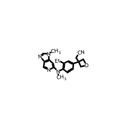 CCc1cc(C2(CC#N)COC2)ccc1N(C)c1cc2c(cn1)ncn2C